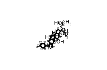 CCC(=O)O[C@]1(C(=O)SCC(C)O)CC[C@H]2[C@@H]3CCC4=Cc5c(cnn5-c5ccc(F)cc5)C[C@]4(C)[C@H]3[C@@H](O)CC21C